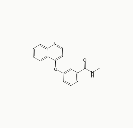 CNC(=O)c1cccc(Oc2ccnc3ccccc23)c1